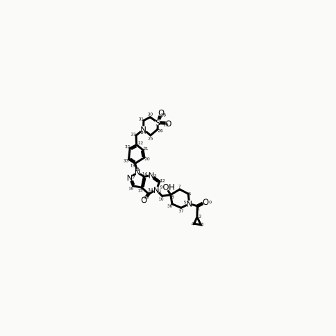 O=C(C1CC1)N1CCC(O)(Cn2cnc3c(cnn3-c3ccc(CN4CCS(=O)(=O)CC4)cc3)c2=O)CC1